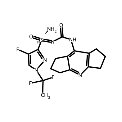 CC(F)(F)n1cc(F)c([S@@](N)(=O)=NC(=O)Nc2c3c(nc4c2CCC4)CCC3)n1